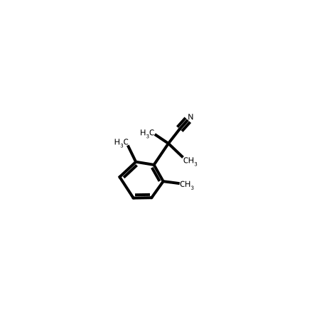 Cc1cccc(C)c1C(C)(C)C#N